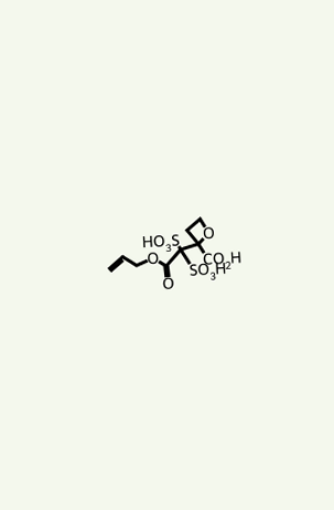 C=CCOC(=O)C(C1(C(=O)O)CCO1)(S(=O)(=O)O)S(=O)(=O)O